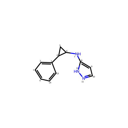 c1ccc(C2CC2Nc2ccn[nH]2)cc1